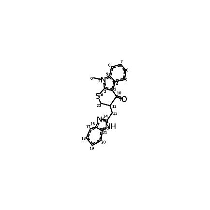 Cn1c2c(c3ccccc31)C(=O)C(Cc1nc3ccccc3[nH]1)CS2